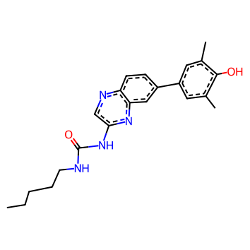 CCCCCNC(=O)Nc1cnc2ccc(-c3cc(C)c(O)c(C)c3)cc2n1